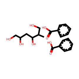 CC(CO)C(O)CC(O)CO.O=C(O)c1ccccc1.O=C(O)c1ccccc1